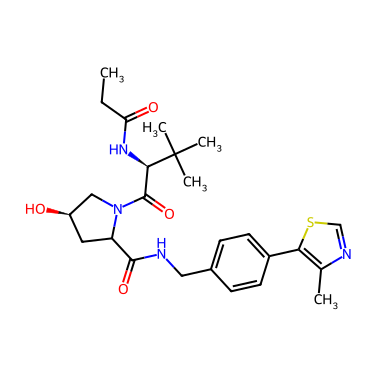 CCC(=O)N[C@H](C(=O)N1C[C@H](O)CC1C(=O)NCc1ccc(-c2scnc2C)cc1)C(C)(C)C